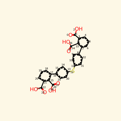 O=C(O)c1cccc(-c2ccc(Sc3ccc(-c4cccc(C(=O)O)c4C(=O)O)cc3)cc2)c1C(=O)O